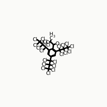 CC(C)C([O])c1c(C(Cl)(Cl)C(Cl)(Cl)C(Cl)(Cl)Cl)cc(C(Cl)(Cl)C(Cl)(Cl)C(Cl)(Cl)Cl)cc1C(Cl)(Cl)C(Cl)(Cl)C(Cl)(Cl)Cl